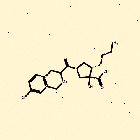 BCCC[C@H]1CN(C(=O)C2Cc3ccc(Cl)cc3CN2)C[C@@]1(N)C(=O)O